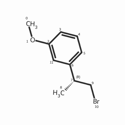 COc1cccc([C@@H](C)CBr)c1